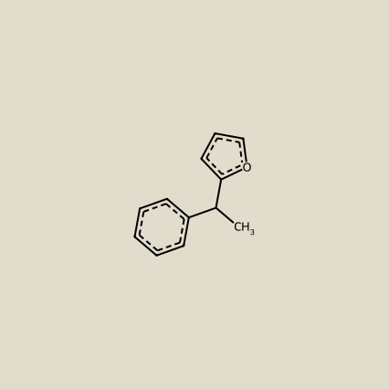 CC(c1ccccc1)c1ccco1